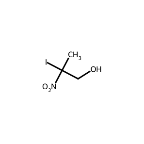 CC(I)(CO)[N+](=O)[O-]